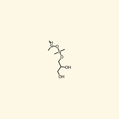 C[SiH](C)O[Si](C)(C)OCC(O)CO